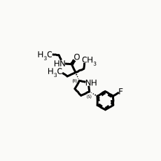 CCNC(=O)C(CC)(CC)[C@H]1CC[C@@H](c2cccc(F)c2)N1